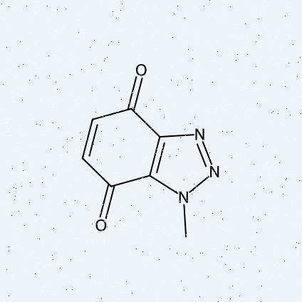 Cn1nnc2c1C(=O)C=CC2=O